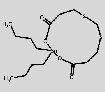 CCC[CH2][Sn]1([CH2]CCC)[O]C(=O)CCSCSCCC(=O)[O]1